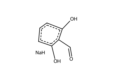 O=Cc1c(O)cccc1O.[NaH]